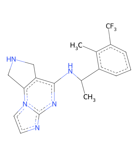 Cc1c(C(C)Nc2nc3nccn3c3c2CNC3)cccc1C(F)(F)F